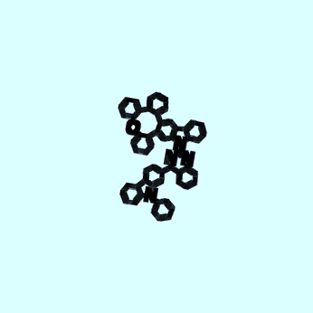 c1ccc(-n2c3ccccc3c3ccc(-c4nc(-n5c6ccccc6c6cc7c(cc65)c5ccccc5oc5ccccc5c5ccccc57)nc5ccccc45)cc32)cc1